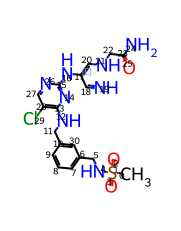 CS(=O)(=O)NCc1cccc(CNc2nc(N/C(C=N)=C/NCC(N)=O)ncc2Cl)c1